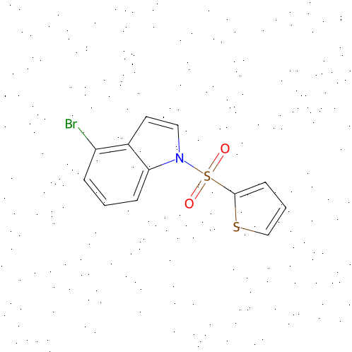 O=S(=O)(c1cccs1)n1ccc2c(Br)cccc21